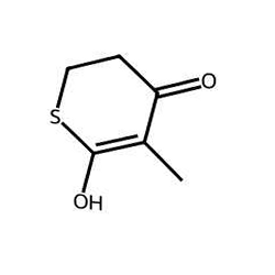 CC1=C(O)SCCC1=O